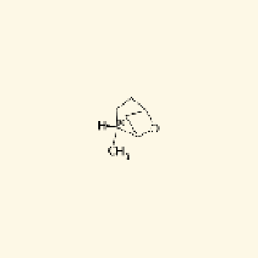 C[C@@H]1CCC2CC1O2